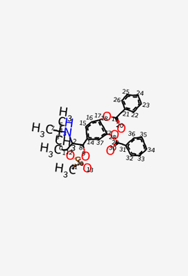 CCC(NC(C)(C)C)C(OS(C)(=O)=O)c1ccc(OC(=O)c2ccccc2)c(OC(=O)c2ccccc2)c1